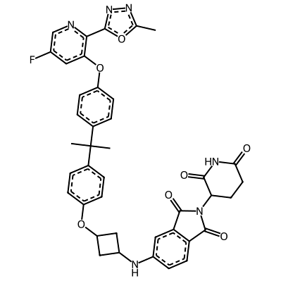 Cc1nnc(-c2ncc(F)cc2Oc2ccc(C(C)(C)c3ccc(OC4CC(Nc5ccc6c(c5)C(=O)N(C5CCC(=O)NC5=O)C6=O)C4)cc3)cc2)o1